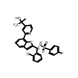 CC(O)(c1ccnc(-c2cccc3cc([C@H](NS(=O)(=O)c4ccc(F)cc4)c4ccccc4Cl)sc23)c1)C(F)(F)F